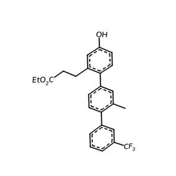 CCOC(=O)CCc1cc(O)ccc1-c1ccc(-c2cccc(C(F)(F)F)c2)c(C)c1